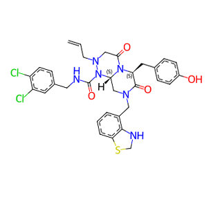 C=CCN1CC(=O)N2[C@@H](Cc3ccc(O)cc3)C(=O)N(Cc3cccc4c3NCS4)C[C@@H]2N1C(=O)NCc1ccc(Cl)c(Cl)c1